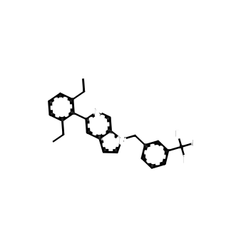 CCc1cccc(CC)c1-c1cc2ccn(Cc3cccc(C(F)(F)F)c3)c2cn1